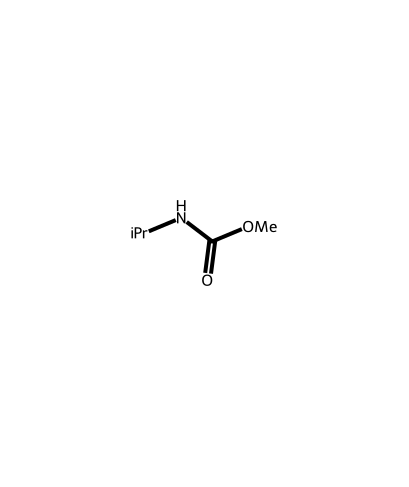 [CH2]OC(=O)NC(C)C